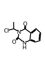 CC(Cl)n1c(=O)[nH]c2ccccc2c1=O